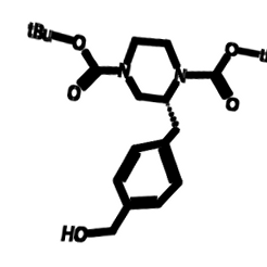 CC(C)(C)OC(=O)N1CCN(C(=O)OC(C)(C)C)[C@H](Cc2ccc(CO)cc2)C1